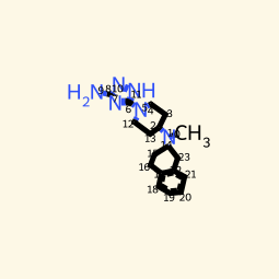 CN(C1CCN(c2nc(N)n[nH]2)CC1)C1CCc2ccccc2C1